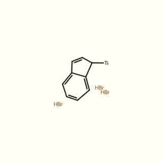 Br.Br.Br.[Ti][CH]1C=Cc2ccccc21